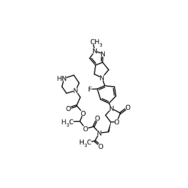 CC(=O)N(C[C@H]1CN(c2ccc(N3Cc4cn(C)nc4C3)c(F)c2)C(=O)O1)C(=O)OC(C)OC(=O)CN1CCNCC1